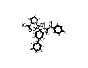 O=C(Nc1ccc(Cl)cc1)NC1(S(=O)(=O)N2CCC[C@H]2C(=O)O)C=CC(c2ccccc2)C=C1